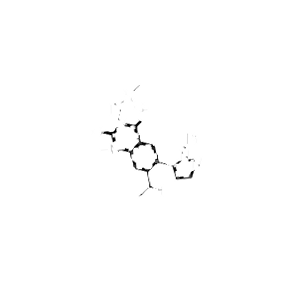 CC(F)c1cc2[nH]c(=O)n(NS(C)(=O)=O)c(=O)c2cc1-c1ccnn1C(C)C